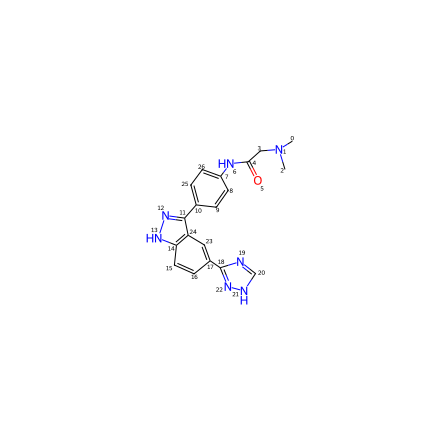 CN(C)CC(=O)Nc1ccc(-c2n[nH]c3ccc(-c4nc[nH]n4)cc23)cc1